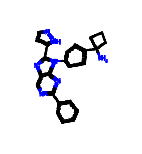 NC1(c2ccc(-n3c(-c4ccn[nH]4)nc4cnc(-c5ccccc5)nc43)cc2)CCC1